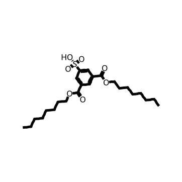 CCCCCCCCOC(=O)c1cc(C(=O)OCCCCCCCC)cc(S(=O)(=O)O)c1